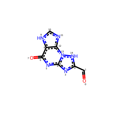 O=Cc1nc2nc(=O)c3[nH]cnc3n2[nH]1